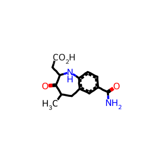 CC1Cc2cc(C(N)=O)ccc2NC(CC(=O)O)C1=O